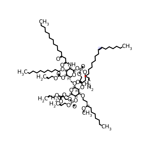 C=CCOC(=O)OC[C@H]1O[C@@H](OC[C@H]2O[C@H](OP(=O)(OCC=C)OCC=C)[C@H](NC(=O)CC(=O)CCCCCCCCCCC)[C@@H](OCCCCCCCCCC)[C@@H]2OC(=O)OCC=C)[C@H](OC(=O)CCCCCCCCC/C=C\CCCCCC)[C@@H](OCC[C@@H](CCCCCCC)OC)[C@@H]1OP(=O)(OCC=C)OCC=C